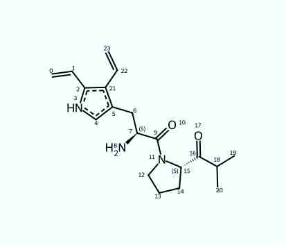 C=Cc1[nH]cc(C[C@H](N)C(=O)N2CCC[C@H]2C(=O)C(C)C)c1C=C